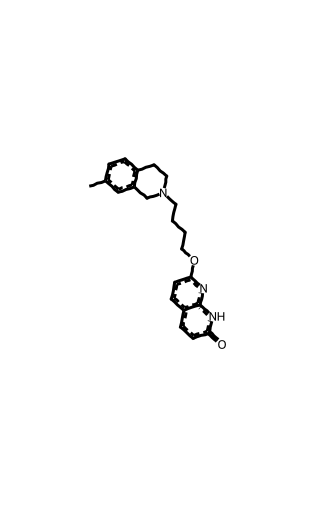 Cc1ccc2c(c1)CN(CCCCOc1ccc3ccc(=O)[nH]c3n1)CC2